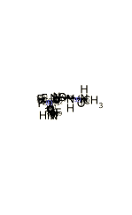 CNC(=O)/C=C/CNCCOc1ccc(/C(=C/CC(F)(F)F)c2ccc3[nH]nc(F)c3c2)nn1